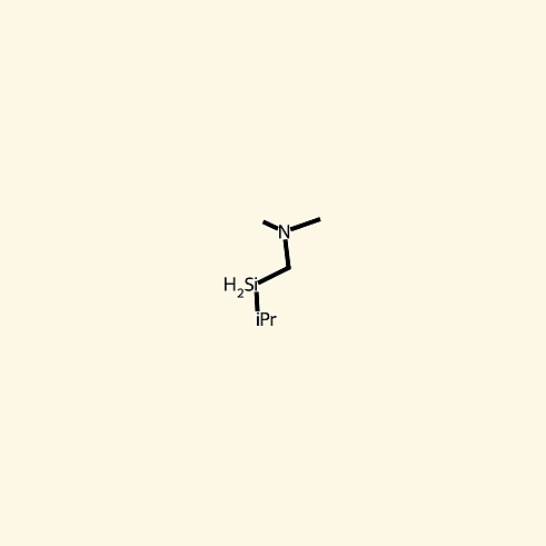 CC(C)[SiH2]CN(C)C